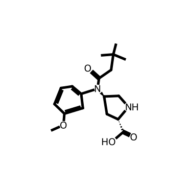 COc1cccc(N(C(=O)CC(C)(C)C)[C@H]2CN[C@H](C(=O)O)C2)c1